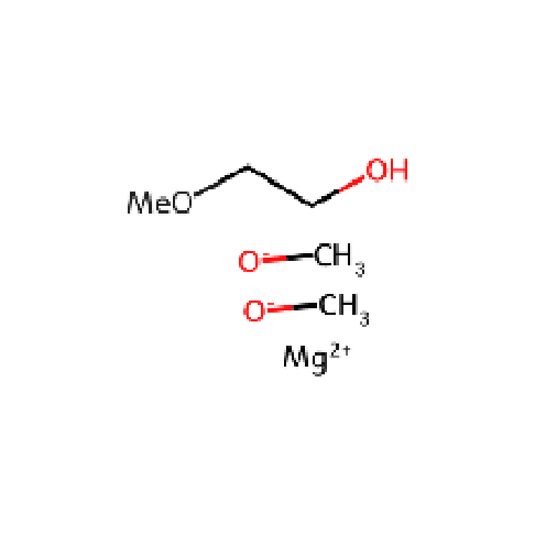 COCCO.C[O-].C[O-].[Mg+2]